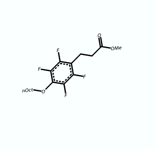 CCCCCCCCOc1c(F)c(F)c(CCC(=O)OC)c(F)c1F